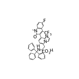 Cn1c(=O)c(-c2ccc(CC(NC(c3ccccc3)(c3ccccc3)c3ccccc3)C(=O)O)n3ccnc23)c(C(F)(F)F)c2cc(F)ccc21